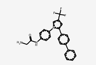 NCC(=O)Nc1ccc(-n2cc(C(F)(F)F)cc2-c2ccc(-c3ccccc3)cc2)cc1